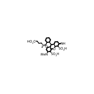 CNc1ccc2c(-c3ccccc3C(=O)N(C)CCCC(=O)O)c3ccc(=N)c(S(=O)(=O)O)c-3oc2c1S(=O)(=O)O